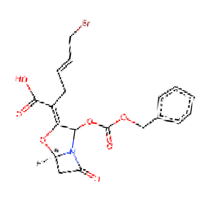 O=C(OCc1ccccc1)OC1C(=C(CC=CCBr)C(=O)O)O[C@@H]2CC(=O)N12